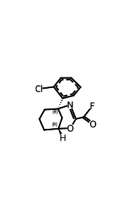 O=C(F)C1=N[C@]2(c3ccccc3Cl)CCC[C@H](C2)O1